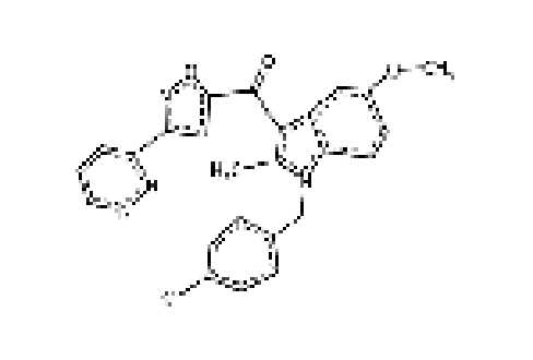 COc1ccc2c(c1)c(C(=O)c1cc(-c3cccnn3)no1)c(C)n2Cc1ccc(Cl)cc1